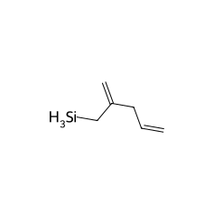 C=CCC(=C)C[SiH3]